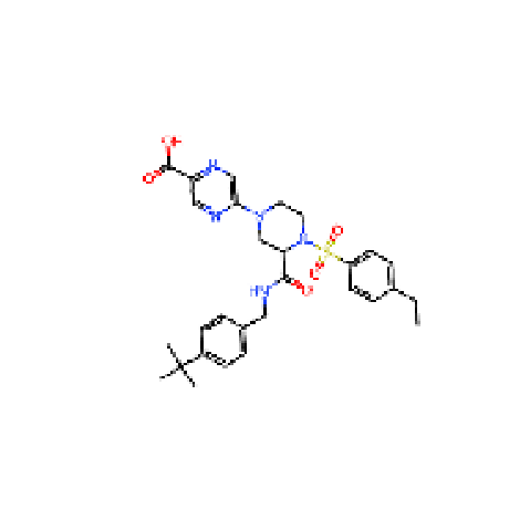 CCc1ccc(S(=O)(=O)N2CCN(c3cnc(C(=O)O)cn3)C[C@@H]2C(=O)NCc2ccc(C(C)(C)C)cc2)cc1